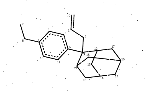 C=CCC1(c2ccc(CC)cc2)C2CC3CC(C2)CC1C3